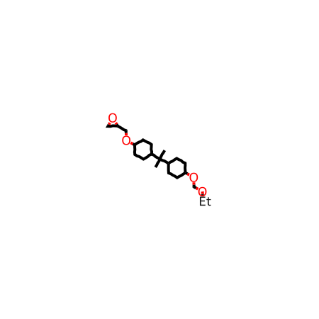 CCOCOC1CCC(C(C)(C)C2CCC(OCC3CO3)CC2)CC1